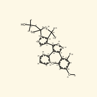 [2H]C([2H])(CC(C)(C)O)n1ncc(-c2onc(-c3c(F)cc(OC)cc3Cl)c2-c2ncccn2)c1C(F)(F)F